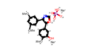 COc1cc(OC)cc(-c2ncoc2-c2ccc(OC)c(O)c2)c1.O=P([O-])([O-])O.[Na+].[Na+]